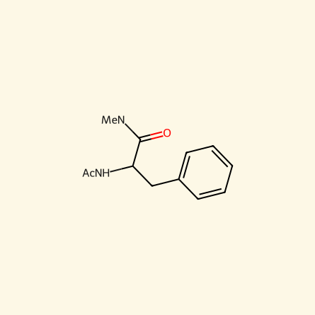 CNC(=O)C(Cc1ccccc1)NC(C)=O